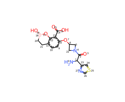 NC(C(=O)N1CC(Oc2ccc3c(c2C(=O)O)OB(O)CC3)C1)c1cscn1